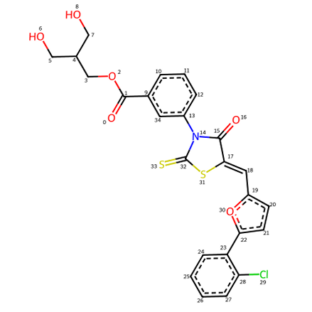 O=C(OCC(CO)CO)c1cccc(N2C(=O)C(=Cc3ccc(-c4ccccc4Cl)o3)SC2=S)c1